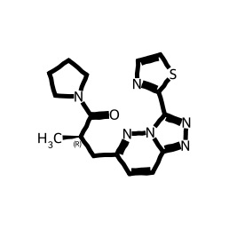 C[C@H](Cc1ccc2nnc(-c3nccs3)n2n1)C(=O)N1CCCC1